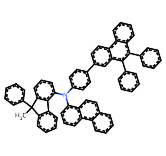 CC1(c2ccccc2)c2ccccc2-c2c(N(c3ccc(-c4ccc5c(c4)c(-c4ccccc4)c(-c4ccccc4)c4ccccc45)cc3)c3cccc4c3ccc3ccccc34)cccc21